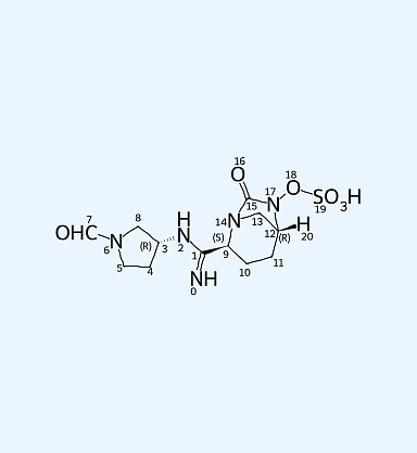 N=C(N[C@@H]1CCN(C=O)C1)[C@@H]1CC[C@@H]2CN1C(=O)N2OS(=O)(=O)O